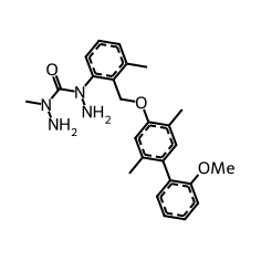 COc1ccccc1-c1cc(C)c(OCc2c(C)cccc2N(N)C(=O)N(C)N)cc1C